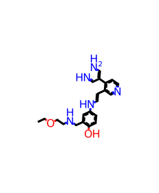 CCOCCNCc1cc(N/C=C/c2cnccc2/C(C=N)=C/N)ccc1O